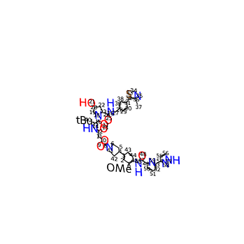 COc1cc(C2CCN(C(=O)OCC(=O)N[C@H](C(=O)N3C[C@H](O)C[C@H]3C(=O)NCc3ccc(-c4scnc4C)cc3)C(C)(C)C)CC2)ccc1NC(=O)c1cccc(-c2cc[nH]n2)n1